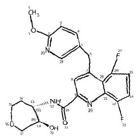 COc1ccc(Cc2cc(C(=O)N[C@H]3CCOC[C@@H]3O)nc3c(F)ccc(F)c23)cn1